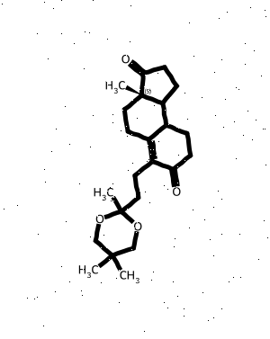 CC1(C)COC(C)(CCC2=C3CC[C@]4(C)C(=O)CCC4C3CCC2=O)OC1